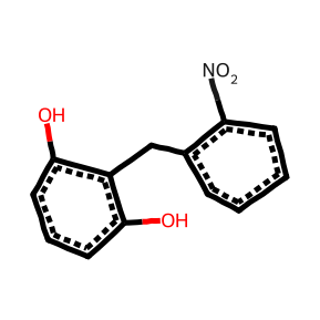 O=[N+]([O-])c1ccccc1Cc1c(O)cccc1O